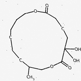 CC1CCCCCCOC(=O)CCCC(O)(O)C(=O)OC1